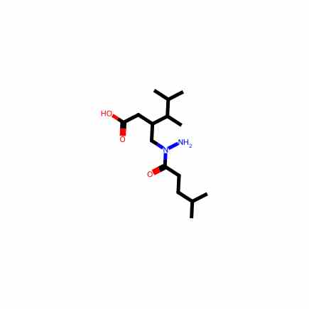 CC(C)CCC(=O)N(N)CC(CC(=O)O)C(C)C(C)C